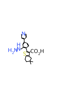 CC1(C)CCc2sc(-c3ccc(-c4ccncc4)cc3CNN)c(C(=O)O)c2C1